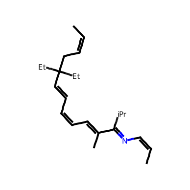 C/C=C\CC(C=C\C=C/C=C(C)/C(=N/C=C\C)C(C)C)(CC)CC